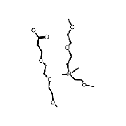 COCCOCCOCCC(=O)[O-].COCCOCC[N+](C)(C)CCOC